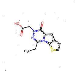 CCc1nn(CC(=O)O)c(=O)c2cc3ccsc3n12